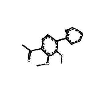 COc1c(C(C)=O)ccc(-c2ccccc2)c1OC